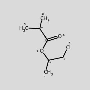 CC(CCl)OC(=O)C(C)C